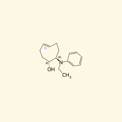 CCN(c1ccccc1)[C@@H]1CC/C=C/CC[C@H]1O